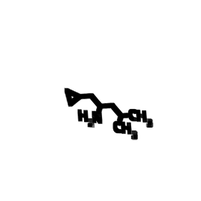 CC(C)CC(N)CC1CC1